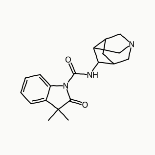 CC1(C)C(=O)N(C(=O)NC2C3CC4CN(C3)CC42)c2ccccc21